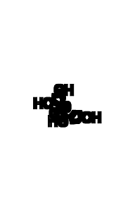 O=C1/C(=C(\O)c2ccc(O)cc2)Oc2cc(O)cc(O)c21